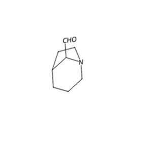 O=CC1C2CCCN1CC2